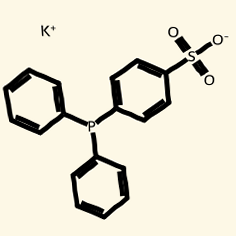 O=S(=O)([O-])c1ccc(P(c2ccccc2)c2ccccc2)cc1.[K+]